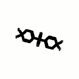 O=S(=O)(C1=CCC(F)(F)C=C1)C1=CCC(F)(F)C=C1